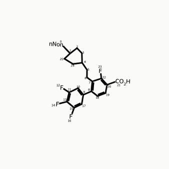 CCCCCCCCCC1CCC(CCc2c(-c3cc(F)c(F)c(F)c3)ccc(C(=O)O)c2F)CC1